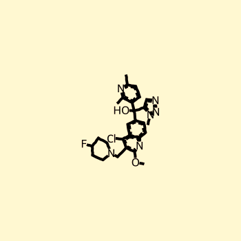 COc1nc2ccc(C(O)(c3ccc(C)nc3C)c3cnnn3C)cc2c(Cl)c1CN1CCC(F)CC1